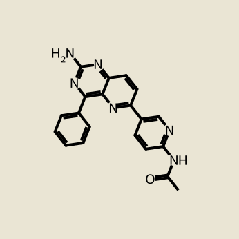 CC(=O)Nc1ccc(-c2ccc3nc(N)nc(-c4ccccc4)c3n2)cn1